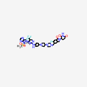 CN(c1nccnc1CNc1nc(Nc2ccc(N3CCC(N4CCN(Cc5cc6c(cc5F)C(=O)N(C5CCC(=O)NC5=O)C6)CC4)CC3)cc2)ncc1C(F)(F)F)S(C)(=O)=O